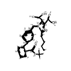 CCCCc1nc(C(=O)O)c(C(=O)O)n1Cc1ccc(-c2ccccc2C(=O)OC(C)(C)C)cc1